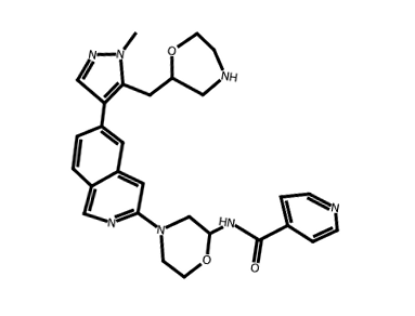 Cn1ncc(-c2ccc3cnc(N4CCOC(NC(=O)c5ccncc5)C4)cc3c2)c1CC1CNCCO1